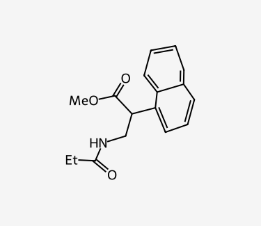 CCC(=O)NCC(C(=O)OC)c1cccc2ccccc12